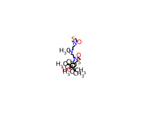 CN(CCCN1CSCC1=O)CCCN1C(=O)CSC1c1cc(C(C)(C)C)c(O)c(C(C)(C)C)c1